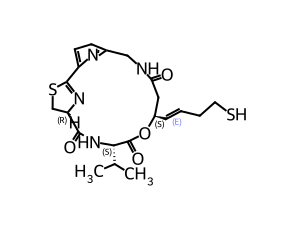 CC(C)[C@@H]1NC(=O)[C@@H]2CSC(=N2)C2=CCC(=N2)CNC(=O)C[C@@H](/C=C/CCS)OC1=O